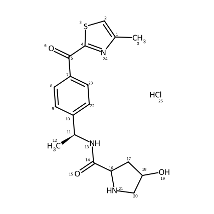 Cc1csc(C(=O)c2ccc([C@H](C)NC(=O)C3CC(O)CN3)cc2)n1.Cl